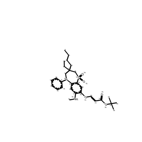 CCCCC1(CC)CN(c2ccccc2)c2cc(NC)c(O/C=C/C(=O)OC(C)(C)C)cc2S(=O)(=O)C1